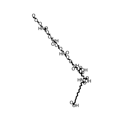 O=CCOCCOCCNC(=O)COCCOCCNC(=O)COCCOCCNC(=O)COCCOCCNC(=O)CC[C@H](CC(=O)CC[C@H](NC(=O)CCCCCCCCCCCCC(=O)O)C(=O)O)C(=O)O